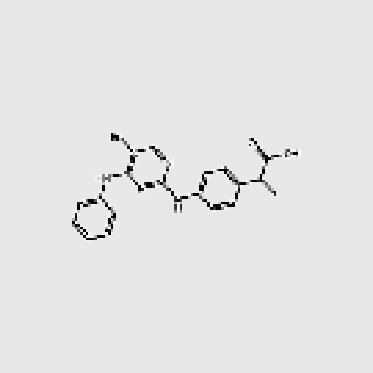 CC(C(=O)O)c1ccc(Nc2ncc(Br)c(Nc3ccccc3)n2)cc1